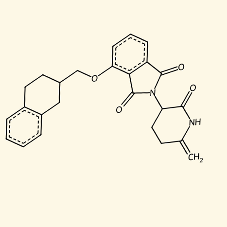 C=C1CCC(N2C(=O)c3cccc(OCC4CCc5ccccc5C4)c3C2=O)C(=O)N1